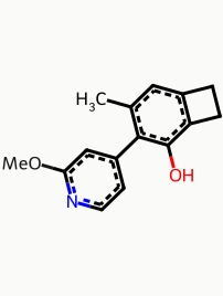 COc1cc(-c2c(C)cc3c(c2O)CC3)ccn1